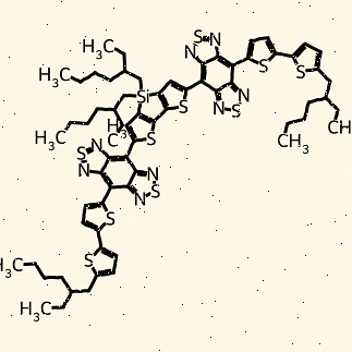 CCCCC(CC)Cc1ccc(-c2ccc(-c3c4c(c(-c5cc6c(s5)-c5sc(-c7c8c(c(-c9ccc(-c%10ccc(CC(CC)CCCC)s%10)s9)c9nsnc79)N=S=N8)cc5[Si]6(CC(CC)CCCC)CC(CC)CCCC)c5nsnc35)N=S=N4)s2)s1